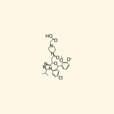 COc1cccc(C2OC(CC(=O)N3CCN(CC(=O)O)CC3)c3nnc(C(C)C)n3-c3ccc(Cl)cc32)c1OC